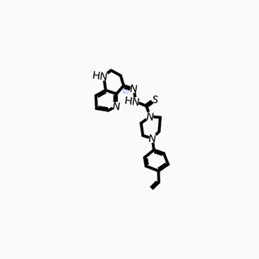 C=Cc1ccc(N2CCN(C(=S)N/N=C3/CCNc4cccnc43)CC2)cc1